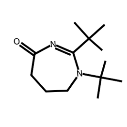 CC(C)(C)C1=NC(=O)CCCN1C(C)(C)C